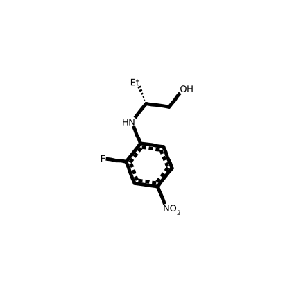 CC[C@H](CO)Nc1ccc([N+](=O)[O-])cc1F